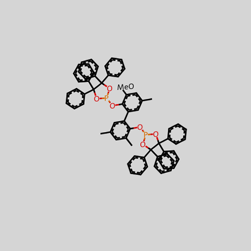 COc1cc(C)cc(-c2cc(C)cc(C)c2OP2OC(c3ccccc3)(c3ccccc3)C(c3ccccc3)(c3ccccc3)O2)c1OP1OC(c2ccccc2)(c2ccccc2)C(c2ccccc2)(c2ccccc2)O1